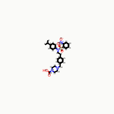 CC(C)c1ccc(N(CCc2ccc(CN3CCN(C(=O)O)CC3)cc2)S(=O)(=O)c2ccccc2[N+](=O)[O-])cc1